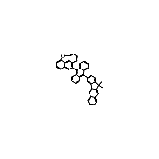 CC1(C)c2ccc(-c3c4ccccc4c(-c4cc5cccc6oc7cccc4c7c56)c4ccccc34)cc2-c2cc3ccccc3cc21